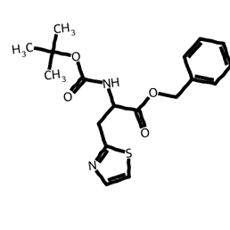 CC(C)(C)OC(=O)NC(Cc1nccs1)C(=O)OCc1ccccc1